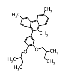 CCC(C)COc1ccc(-c2c(C)c3ccc(C)cc3c3cc(C)ccc23)cc1OCC(C)CC